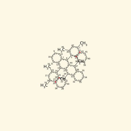 Cc1cc(C)c(-c2c3ccccc3c(-c3c(C)cc(C)cc3C)c3c(-c4ccccc4)c4ccccc4c(-c4ccccc4)c23)c(C)c1